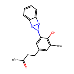 CCCC(=O)CCc1cc(-n2n3c4ccccc4n23)c(O)c(C(C)(C)C)c1